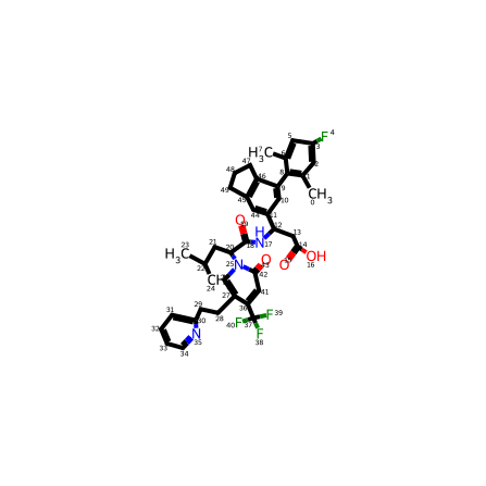 Cc1cc(F)cc(C)c1-c1cc(C(CC(=O)O)NC(=O)C(CC(C)C)n2cc(CCc3ccccn3)c(C(F)(F)F)cc2=O)cc2c1CCC2